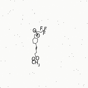 COC(=O)CCC#CC1CCC(CS(=O)(=O)CCC(F)(F)F)CC1